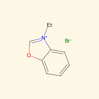 CC[n+]1coc2ccccc21.[Br-]